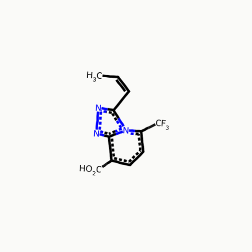 C/C=C\c1nnc2c(C(=O)O)ccc(C(F)(F)F)n12